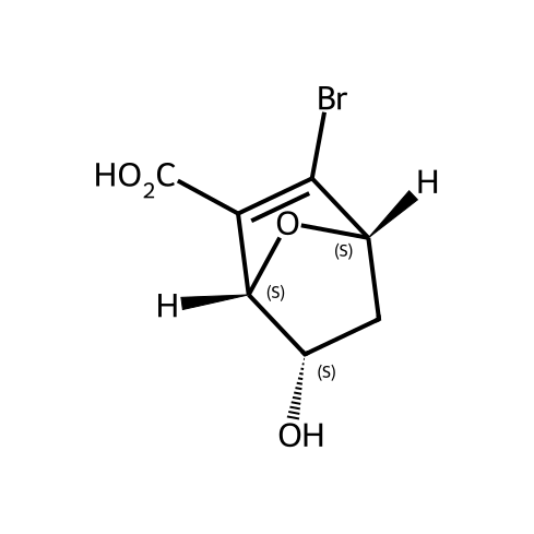 O=C(O)C1=C(Br)[C@@H]2C[C@H](O)[C@H]1O2